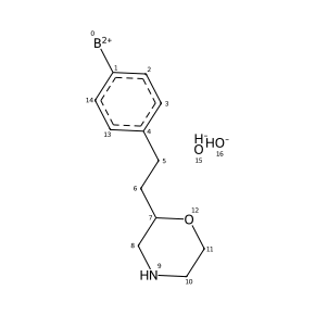 [B+2]c1ccc(CCC2CNCCO2)cc1.[OH-].[OH-]